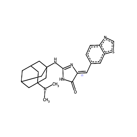 CN(C)C12CC3CC(CC(NC4=N/C(=C\c5ccc6ncsc6c5)C(=O)N4)(C3)C1)C2